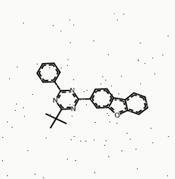 CC(C)(C)c1nc(-c2ccccc2)nc(-c2ccc3c(c2)oc2ccccc23)n1